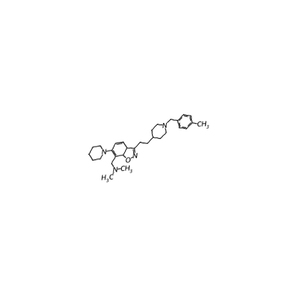 Cc1ccc(CN2CCC(CCC3=NOC4C(CN(C)C)=C(N5CCCCC5)C=CC34)CC2)cc1